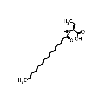 CC=C(NC(=O)CCCCCCCCCCCCC)C(=O)O